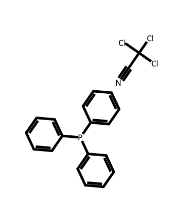 N#CC(Cl)(Cl)Cl.c1ccc(P(c2ccccc2)c2ccccc2)cc1